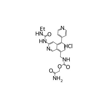 CCNC(=O)Nc1cc2c(-c3ccncc3)ccc(CNC(=O)OCC(N)=O)c2cn1.Cl